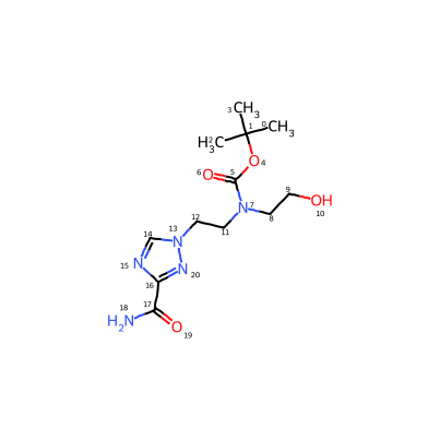 CC(C)(C)OC(=O)N(CCO)CCn1cnc(C(N)=O)n1